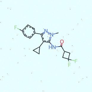 Cn1nc(-c2ccc(F)cc2)c(C2CC2)c1NC(=O)C1CC(F)(F)C1